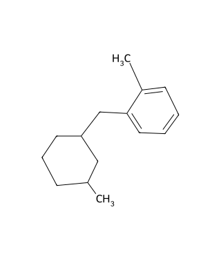 Cc1ccccc1CC1CCCC(C)C1